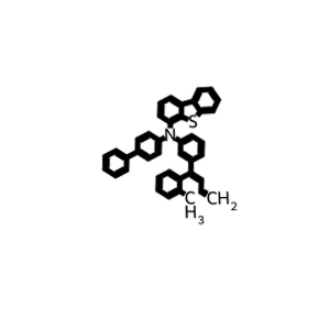 C=C/C=C(/c1cccc(N(c2ccc(-c3ccccc3)cc2)c2cccc3c2sc2ccccc23)c1)c1ccccc1C